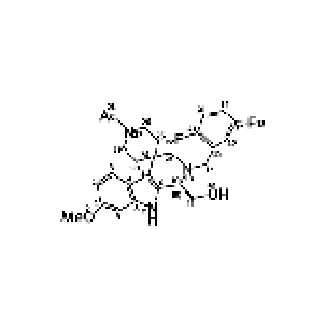 COc1ccc2c3c([nH]c2c1)[C@H](CO)N(Cc1cc(F)ccc1F)CC31CCN(C(C)=O)CC1